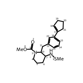 COC(=O)N1CCCC(NSC)C1Cc1cccc(C2=CCCC2)c1